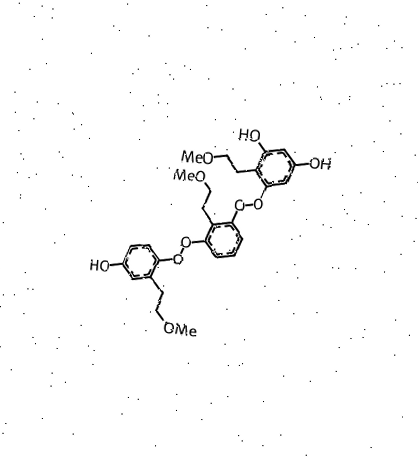 COCCc1cc(O)ccc1OOc1cccc(OOc2cc(O)cc(O)c2CCOC)c1CCOC